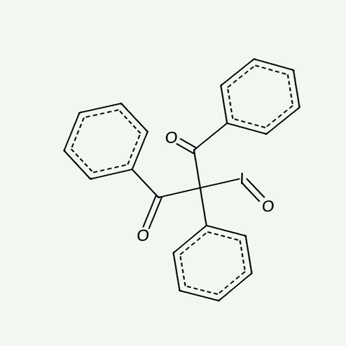 O=IC(C(=O)c1ccccc1)(C(=O)c1ccccc1)c1ccccc1